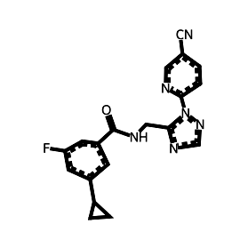 N#Cc1ccc(-n2ncnc2CNC(=O)c2cc(F)cc(C3CC3)c2)nc1